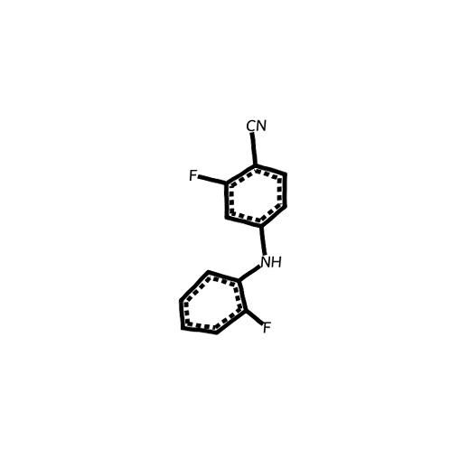 N#Cc1ccc(Nc2ccccc2F)cc1F